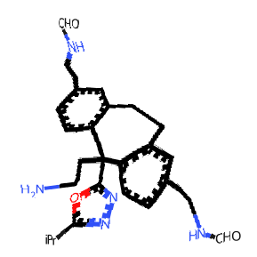 CC(C)c1nnc(C2(CCN)c3ccc(CNC=O)cc3CCc3cc(CNC=O)ccc32)o1